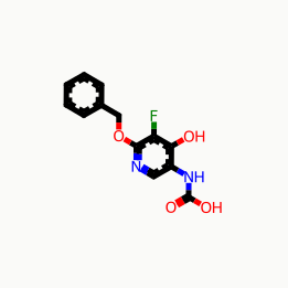 O=C(O)Nc1cnc(OCc2ccccc2)c(F)c1O